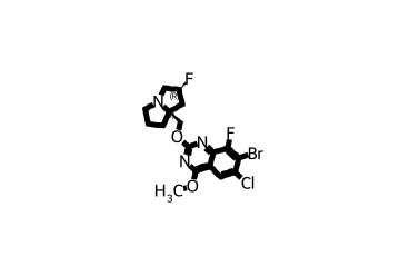 COc1nc(OC[C@@]23CCCN2C[C@H](F)C3)nc2c(F)c(Br)c(Cl)cc12